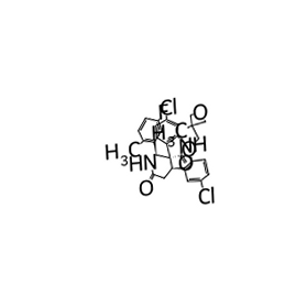 Cc1ccc(F)cc1[C@@H]1NC(=O)C[C@H](c2cc(Cl)ccc2OCC2(C)COC2)[C@@]12C(=O)Nc1cc(Cl)ccc12